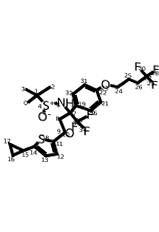 CC(C)(C)[S+]([O-])NC(CC(=O)c1ccc(C2CC2)s1)(c1ccc(OCCCC(F)(F)F)cc1)C(F)(F)F